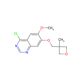 COc1cc2c(Cl)ncnc2cc1OCC1(C)COC1